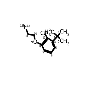 CC(C)(C)c1cccc(OCC[18F])c1Cl